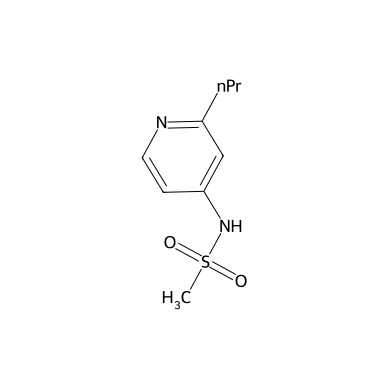 CCCc1cc(NS(C)(=O)=O)ccn1